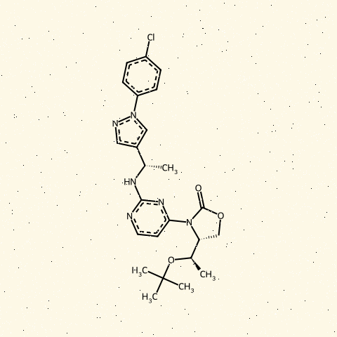 C[C@H](Nc1nccc(N2C(=O)OC[C@@H]2[C@@H](C)OC(C)(C)C)n1)c1cnn(-c2ccc(Cl)cc2)c1